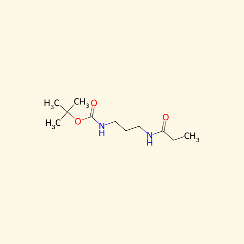 CCC(=O)NCCCNC(=O)OC(C)(C)C